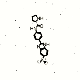 O=C(Nc1ccc(-c2nc3cc([N+](=O)[O-])ccc3[nH]2)cc1)[C@@H]1CCCN1